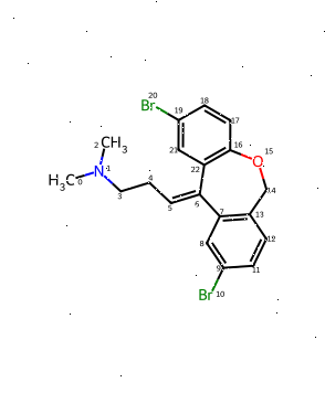 CN(C)CCC=C1c2cc(Br)ccc2COc2ccc(Br)cc21